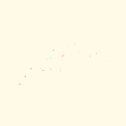 CC(P)OCCC(C)(C)C(C)(C)OCC(C)C(C)(C)C(C)(P)OCCC(C)(C)O